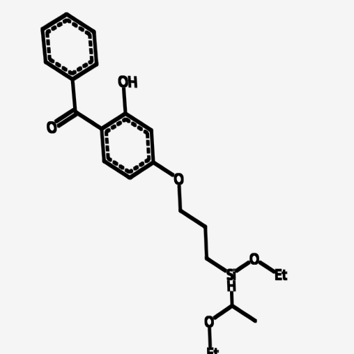 CCOC(C)[SiH](CCCOc1ccc(C(=O)c2ccccc2)c(O)c1)OCC